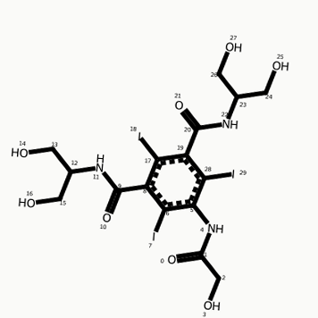 O=C(CO)Nc1c(I)c(C(=O)NC(CO)CO)c(I)c(C(=O)NC(CO)CO)c1I